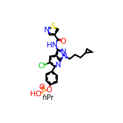 CCCP(=O)(O)Oc1ccc(-c2nc3c(cc2Cl)c(NC(=O)c2cnsc2)nn3CCCC2CC2)cc1